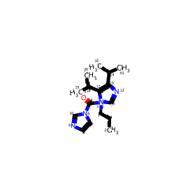 CCC[N+]1(C(=O)n2ccnc2)C=NC(C(C)C)=C1C(C)C